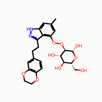 Cc1cc(OO[C@@H]2[C@@H](O)[C@H](O)[C@@H](CO)O[C@H]2O)c2c(CCc3ccc4c(c3)OCCO4)n[nH]c2c1